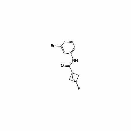 O=C(Nc1cccc(Br)c1)C12CC(F)(C1)C2